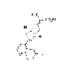 CCOC(=O)/C(C)=C1/C[C@@H]2C[C@H](c3ccnc4ccc(F)cc34)C[C@@H]2C1